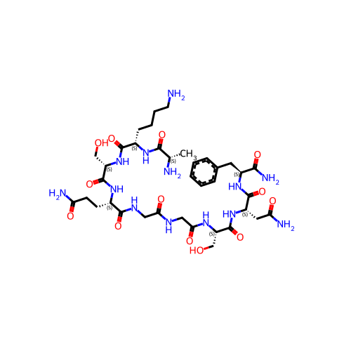 C[C@H](N)C(=O)N[C@@H](CCCCN)C(=O)N[C@@H](CO)C(=O)N[C@@H](CCC(N)=O)C(=O)NCC(=O)NCC(=O)N[C@@H](CO)C(=O)N[C@@H](CC(N)=O)C(=O)N[C@@H](Cc1ccccc1)C(N)=O